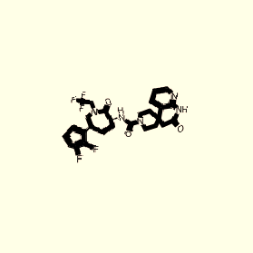 O=C1CC2(CCN(C(=O)N[C@@H]3CC[C@@H](c4cccc(F)c4F)CN(CC(F)(F)F)C3=O)CC2)c2cccnc2N1